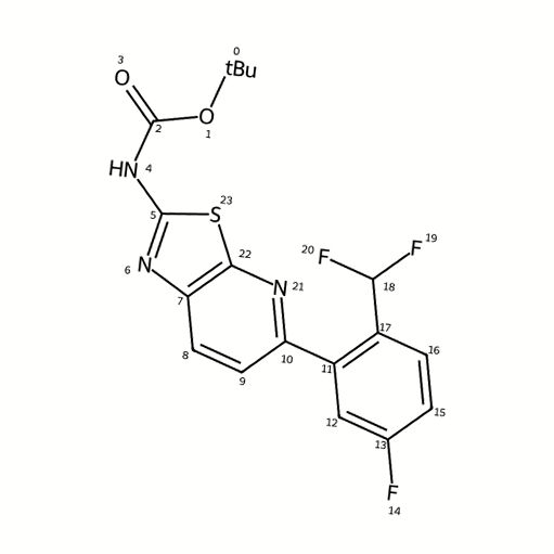 CC(C)(C)OC(=O)Nc1nc2ccc(-c3cc(F)ccc3C(F)F)nc2s1